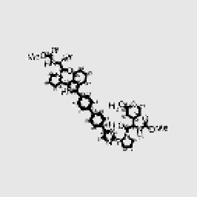 COC(=O)NC(C(=O)N1CCC[C@H]1c1ncc(-c2ccc(-c3ccc(-c4[nH]c(C5CCCN5C(=O)[C@@H](NC(=O)OC)C(C)C)c5c4CCCC5)cc3)cc2)[nH]1)C1CCOC(C)C1